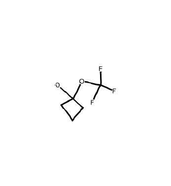 [O]C1(OC(F)(F)F)CCC1